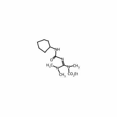 CCOC(=O)N(C)C(=NC(=O)NC1CCCCC1)N(C)C